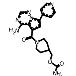 NC(=O)OCC1CCN(C(=O)c2cc(-c3ccncc3)n3ncnc(N)c23)CC1